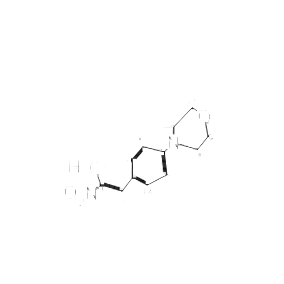 CC(=Cc1ccc(N2CCOCC2)cc1)[N+](=O)[O-]